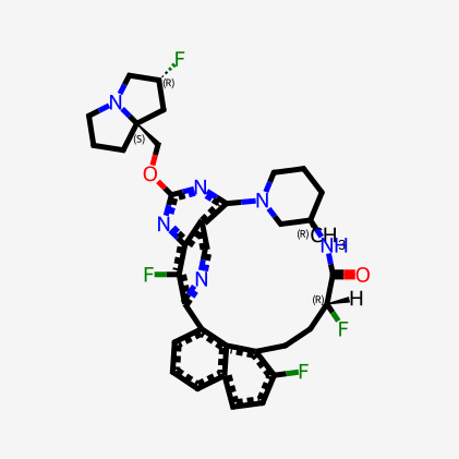 C[C@@]12CCCN(C1)c1nc(OC[C@@]34CCCN3C[C@H](F)C4)nc3c(F)c(ncc13)-c1cccc3ccc(F)c(c13)CC[C@@H](F)C(=O)N2